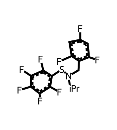 CC(C)N(Cc1c(F)cc(F)cc1F)Sc1c(F)c(F)c(F)c(F)c1F